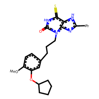 COc1ccc(CCCn2c(=O)[nH]c(=S)c3[nH]c(C(C)C)nc32)cc1OC1CCCC1